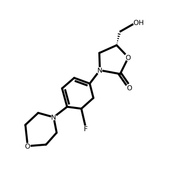 O=C1O[C@@H](CO)CN1C1=CC=C(N2CCOCC2)C(F)C1